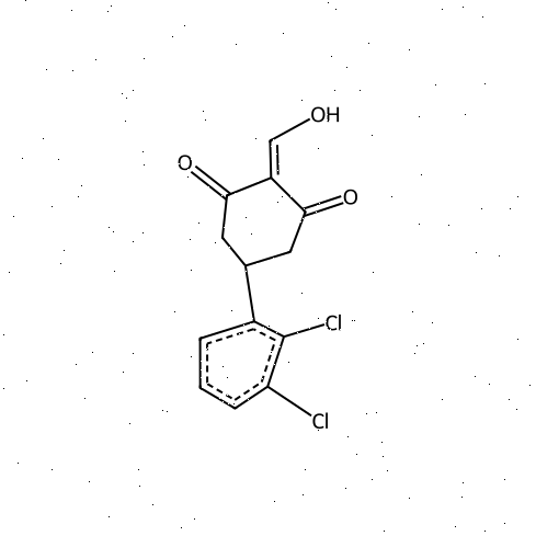 O=C1CC(c2cccc(Cl)c2Cl)CC(=O)C1=CO